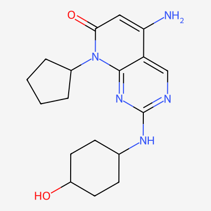 Nc1cc(=O)n(C2CCCC2)c2nc(NC3CCC(O)CC3)ncc12